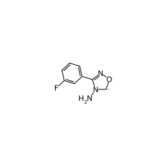 NN1[CH]ON=C1c1cccc(F)c1